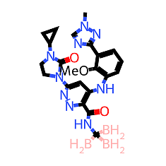 BC(B)(B)NC(=O)c1nnc(N2CCN(C3CC3)C2=O)cc1Nc1cccc(-c2ncn(C)n2)c1OC